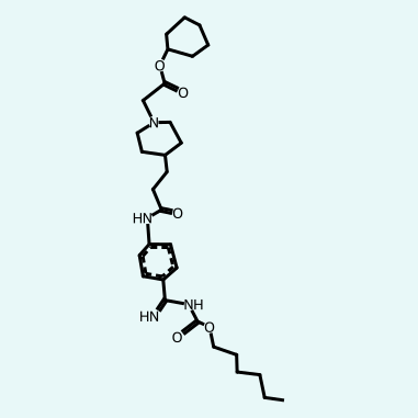 CCCCCCOC(=O)NC(=N)c1ccc(NC(=O)CCC2CCN(CC(=O)OC3CCCCC3)CC2)cc1